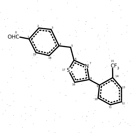 O=Cc1ccc(Cc2nc(-c3ccccc3C(F)(F)F)cs2)cc1